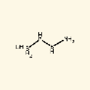 BBBN.[LiH]